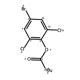 [CH2]CCCC(=O)Oc1c(Cl)cc(Br)cc1Cl